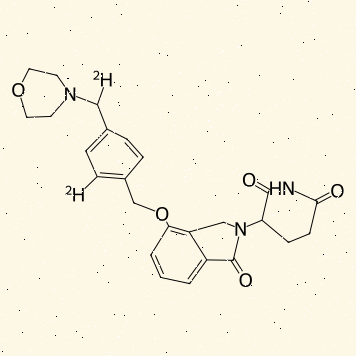 [2H]c1cc(C([2H])N2CCOCC2)ccc1COc1cccc2c1CN(C1CCC(=O)NC1=O)C2=O